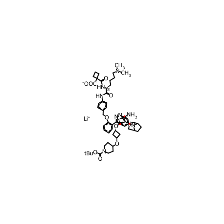 CN(C)CCCC[C@H](NC(=O)C1(C(=O)[O-])CCC1)C(=O)Nc1ccc(COc2ccccc2-c2cc(N3CC4CCC(C3)N4c3ccnc(O[C@H]4C[C@H](OC5CCN(C(=O)OC(C)(C)C)CC5)C4)c3)c(N)nn2)cc1.[Li+]